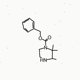 CC1NCCN(C(=O)OCc2ccccc2)C1(C)C